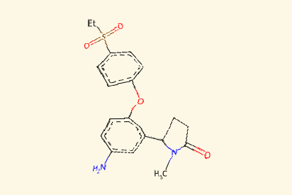 CCS(=O)(=O)c1ccc(Oc2ccc(N)cc2C2CCC(=O)N2C)cc1